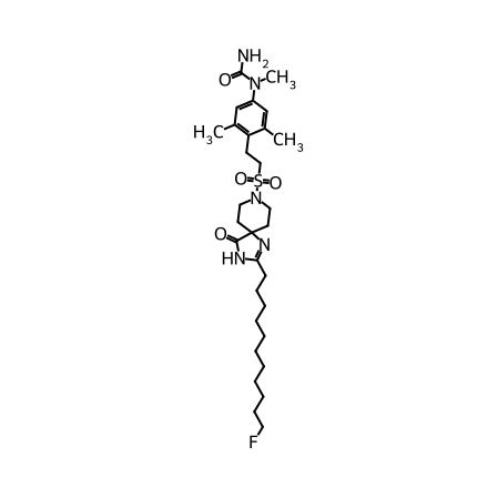 Cc1cc(N(C)C(N)=O)cc(C)c1CCS(=O)(=O)N1CCC2(CC1)N=C(CCCCCCCCCCCF)NC2=O